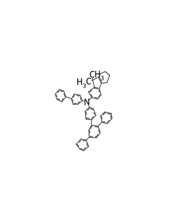 CC1(C)C2=C(CCCC2)c2ccc(N(c3ccc(-c4ccccc4)cc3)c3ccc(-c4cc(-c5ccccc5)ccc4-c4ccccc4)cc3)cc21